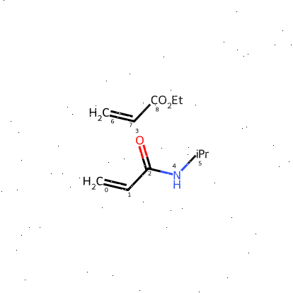 C=CC(=O)NC(C)C.C=CC(=O)OCC